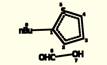 CCCCc1cccs1.O=CO